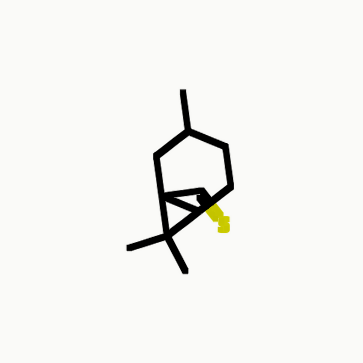 CC1CCC2C(C)(C)C2(C=S)C1